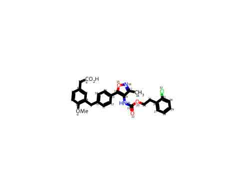 COc1ccc(CC(=O)O)cc1Cc1ccc(-c2onc(C)c2NC(=O)OCCc2ccccc2Cl)cc1